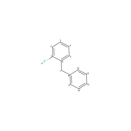 Fc1ccccc1Cc1c[c]ccc1